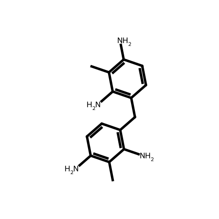 Cc1c(N)ccc(Cc2ccc(N)c(C)c2N)c1N